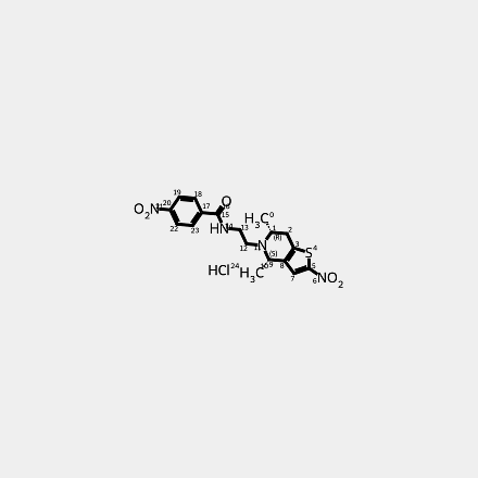 C[C@@H]1Cc2sc([N+](=O)[O-])cc2[C@H](C)N1CCNC(=O)c1ccc([N+](=O)[O-])cc1.Cl